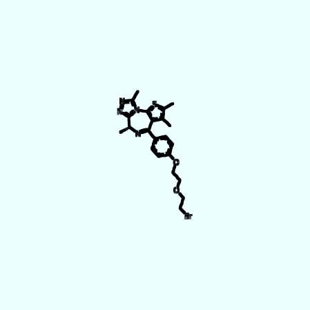 Cc1sc2c(c1C)C(c1ccc(OCCOCCBr)cc1)=N[C@@H](C)c1nnc(C)n1-2